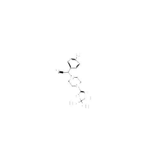 CC(C)(C)OC(=O)N1CCN(C(C#N)c2ccc(Cl)cc2)CC1